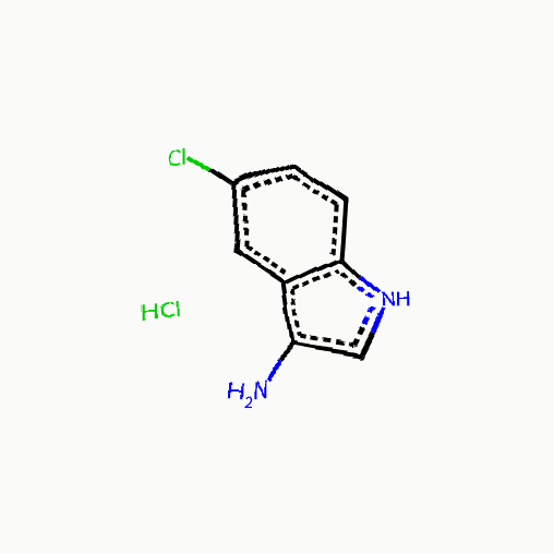 Cl.Nc1c[nH]c2ccc(Cl)cc12